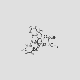 CC1CC[C@@](S)([C@@H](c2ccccc2)N(Cc2ccccc2)[S+]([O-])C(C)(C)C)OC1O